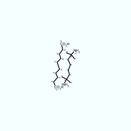 CC(C)(N)CCCCC(C)(C)N.O=C(O)CCCCCCCCC(=O)O